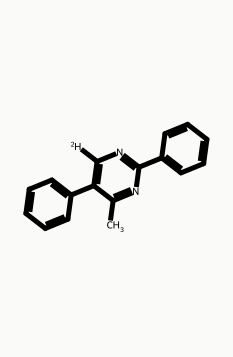 [2H]c1nc(-c2ccccc2)nc(C)c1-c1ccccc1